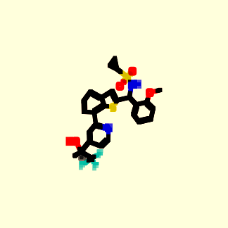 COc1ccccc1C(NS(=O)(=O)C1CC1)c1cc2cccc(-c3cc([C@@](C)(O)C(F)(F)F)ccn3)c2s1